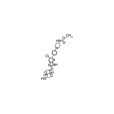 CCOC(=O)NC1CCN(c2ccc(-c3nc4[nH]c(O[C@@H]5CO[C@@H]6C(O)CO[C@@H]65)nc4cc3Cl)cc2)CC1